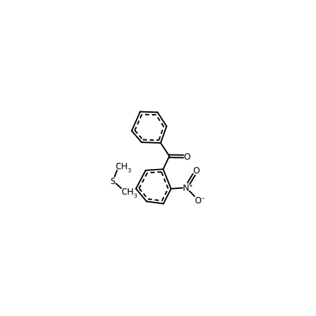 CSC.O=C(c1ccccc1)c1ccccc1[N+](=O)[O-]